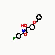 OC(c1coc(-c2ccc(F)cc2)n1)C1CCCC(OCc2ccccc2)C1